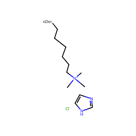 CCCCCCCCCCCCCCCC[N+](C)(C)C.[Cl-].c1c[nH]cn1